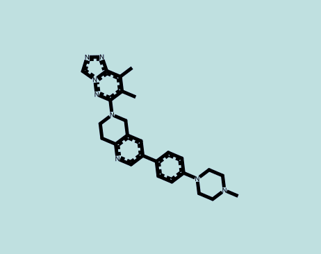 Cc1c(N2CCc3ncc(-c4ccc(N5CCN(C)CC5)cc4)cc3C2)nn2cnnc2c1C